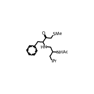 CSCC(=O)C(Cc1ccccc1)NCC(CC(C)C)NC(C)=O